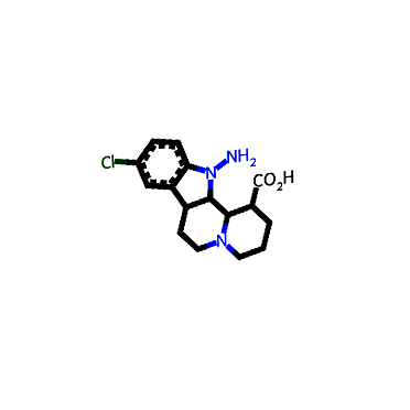 NN1c2ccc(Cl)cc2C2CCN3CCCC(C(=O)O)C3C21